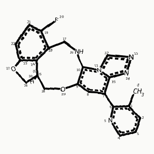 Cc1cccnc1-c1cc2c(n3cnnc13)NCc1c(F)ccc3c1[C@@H](CO3)CO2